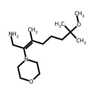 COC(C)(C)CCCC(C)=C(CN)N1CCOCC1